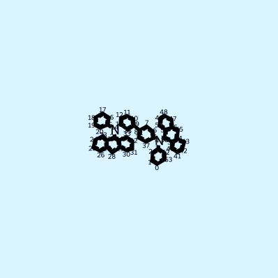 c1ccc(N(c2ccc(-c3cccc(N(c4ccccc4)c4c5ccccc5cc5ccccc45)c3)cc2)c2c3ccccc3cc3ccccc23)cc1